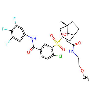 COCCNC(=O)C[C@@]1(O)C2CC[C@H]1C[C@H](S(=O)(=O)c1cc(C(=O)Nc3cc(F)c(F)c(F)c3)ccc1Cl)C2